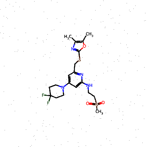 Cc1nc(SCc2cc(N3CCC(F)(F)CC3)cc(NCCS(C)(=O)=O)n2)oc1C